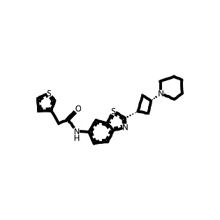 O=C(Cc1ccsc1)Nc1ccc2nc([C@H]3C[C@@H](N4CCCCC4)C3)sc2c1